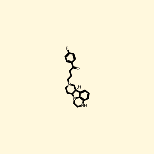 O=C(CCCN1CCC2[C@@H](C1)c1cccc3c1N2CCN3)c1ccc(F)cc1